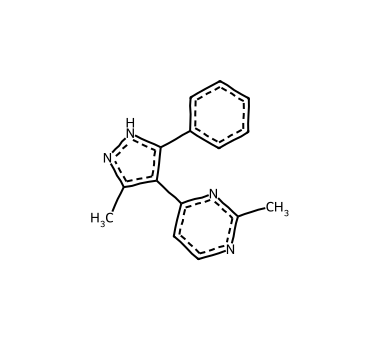 Cc1nccc(-c2c(C)n[nH]c2-c2ccccc2)n1